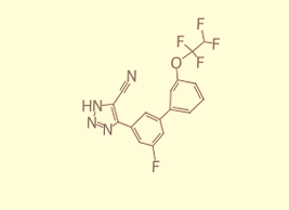 N#Cc1[nH]nnc1-c1cc(F)cc(-c2cccc(OC(F)(F)C(F)F)c2)c1